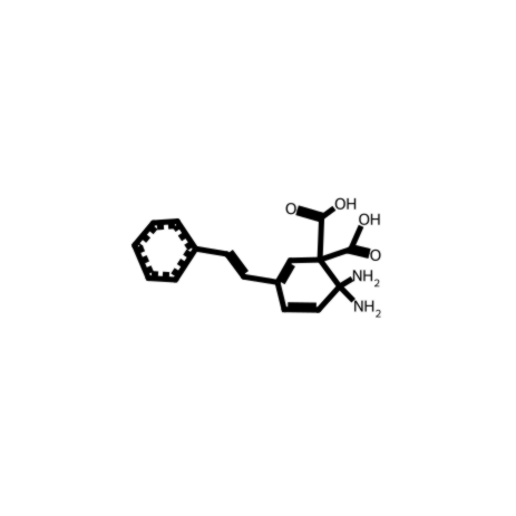 NC1(N)C=CC(C=Cc2ccccc2)=CC1(C(=O)O)C(=O)O